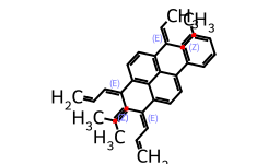 C=C/C=C(\C=C/C)c1ccc(C(/C=C\C)=C/C)c2c(-c3ccccc3)ccc(C(/C=C\C)=C/C=C)c12